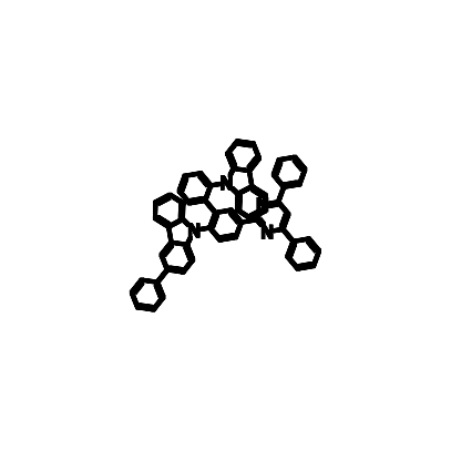 c1ccc(-c2ccc3c(c2)c2ccccc2n3-c2ccc(-c3nc(-c4ccccc4)cc(-c4ccccc4)n3)cc2-c2ccccc2-n2c3ccccc3c3ccccc32)cc1